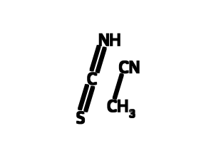 CC#N.N=C=S